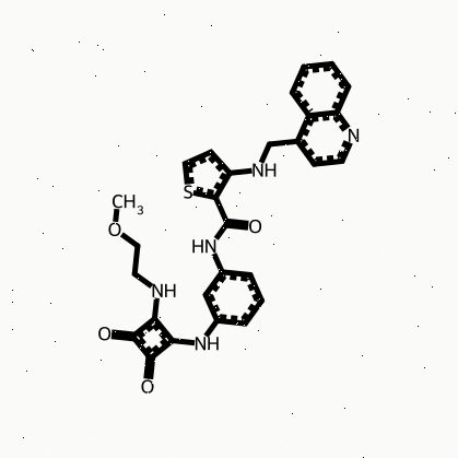 COCCNc1c(Nc2cccc(NC(=O)c3sccc3NCc3ccnc4ccccc34)c2)c(=O)c1=O